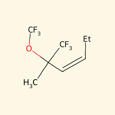 CC/C=C\C(C)(OC(F)(F)F)C(F)(F)F